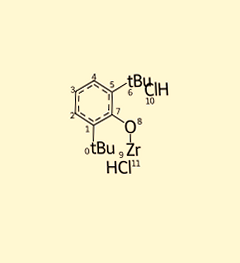 CC(C)(C)c1cccc(C(C)(C)C)c1[O][Zr].Cl.Cl